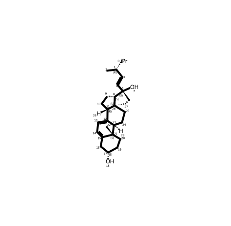 CC(C)[C@@H](C)C=C[C@](C)(O)[C@H]1CC[C@H]2C3=CC=C4C[C@@H](O)CC[C@@]4(C)[C@@H]3CC[C@@]21C